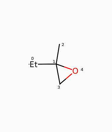 C[CH]C1(C)CO1